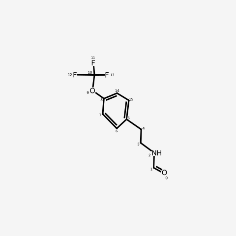 O=CNCCc1ccc(OC(F)(F)F)cc1